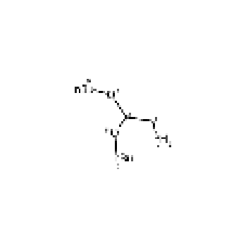 CCCCOC(CP)OCCCC